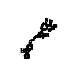 CS(=O)(=O)Nc1cc([C@@H](O)CNCCOc2ccc3c(c2)[nH]c2ccccc23)ccc1F